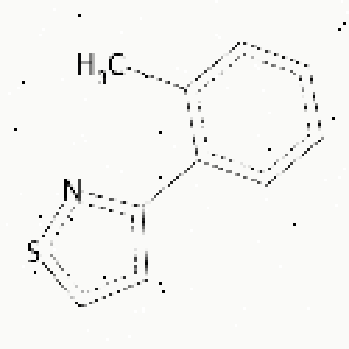 Cc1ccccc1-c1ccsn1